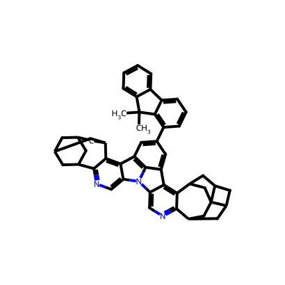 CC1(C)c2ccccc2-c2cccc(-c3cc4c5c6c(ncc5n5c7cnc8c(c7c(c3)c45)C3CC4CC5CC8CC54C3)C3CC4CC(C3)CC6C4)c21